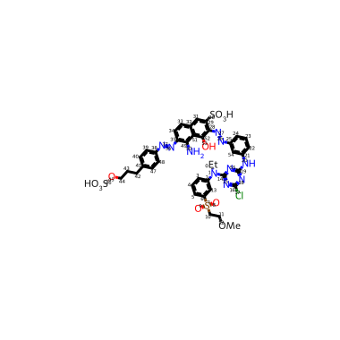 CCN(c1cccc(S(=O)(=O)CCOC)c1)c1nc(Cl)nc(Nc2cccc(/N=N/c3c(S(=O)(=O)O)cc4ccc(/N=N/c5ccc(CCCOS(=O)(=O)O)cc5)c(N)c4c3O)c2)n1